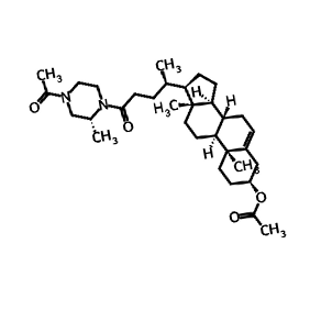 CC(=O)O[C@H]1CC[C@@]2(C)C(=CC[C@H]3[C@@H]4CC[C@H]([C@H](C)CCC(=O)N5CCN(C(C)=O)C[C@H]5C)[C@@]4(C)CC[C@@H]32)C1